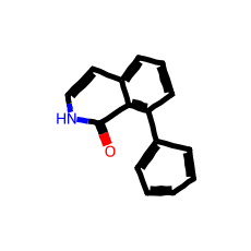 O=c1[nH]ccc2cccc(-c3ccccc3)c12